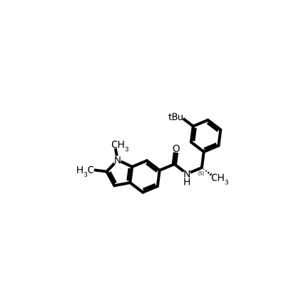 Cc1cc2ccc(C(=O)N[C@@H](C)c3cccc(C(C)(C)C)c3)cc2n1C